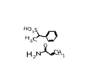 C=CC(N)=O.CC(c1ccccc1)S(=O)(=O)O